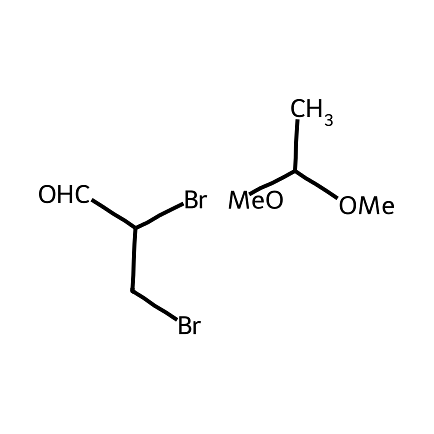 COC(C)OC.O=CC(Br)CBr